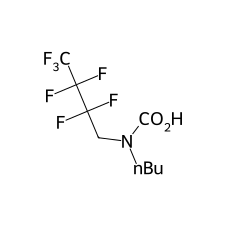 CCCCN(CC(F)(F)C(F)(F)C(F)(F)F)C(=O)O